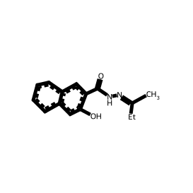 CC/C(C)=N\NC(=O)c1cc2ccccc2cc1O